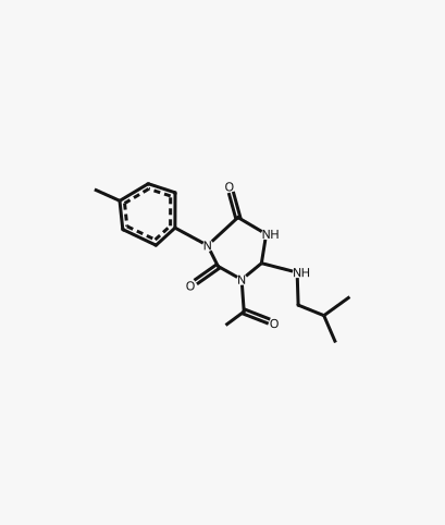 CC(=O)N1C(=O)N(c2ccc(C)cc2)C(=O)NC1NCC(C)C